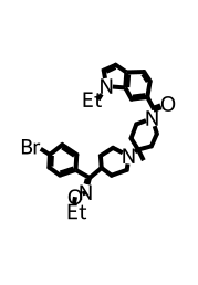 CCON=C(c1ccc(Br)cc1)C1CCN(C2(C)CCN(C(=O)c3ccc4ccn(CC)c4c3)CC2)CC1